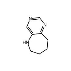 c1ncc2c(n1)CCCCN2